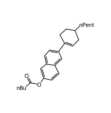 CCCCCC1CC=C(c2ccc3cc(OC(=O)CCCC)ccc3c2)CC1